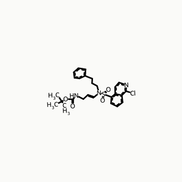 CC(C)(C)OC(=O)NCC=CN(CCCc1ccccc1)S(=O)(=O)c1cccc2c(Cl)nccc12